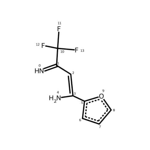 N=C(/C=C(\N)c1ccco1)C(F)(F)F